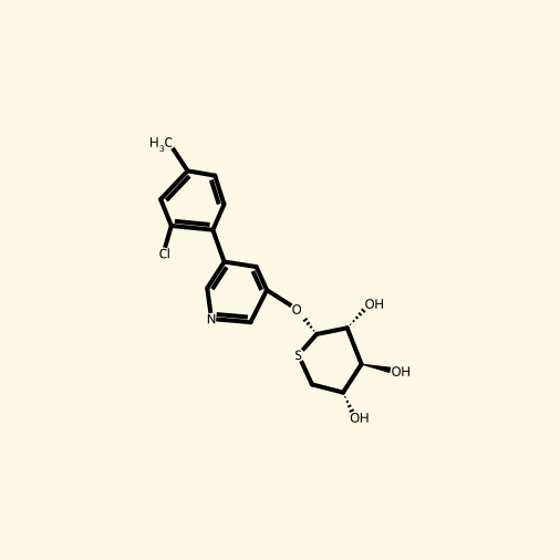 Cc1ccc(-c2cncc(O[C@H]3SC[C@@H](O)[C@H](O)[C@H]3O)c2)c(Cl)c1